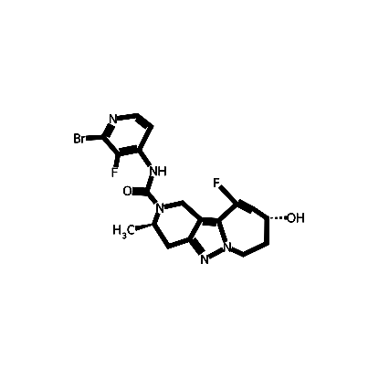 C[C@@H]1Cc2nn3c(c2CN1C(=O)Nc1ccnc(Br)c1F)C(F)=C[C@H](O)CC3